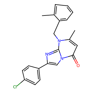 Cc1ccccc1Cn1c(C)cc(=O)n2cc(-c3ccc(Cl)cc3)nc12